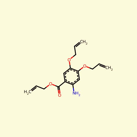 C=CCOC(=O)c1cc(OCC=C)c(OCC=C)cc1N